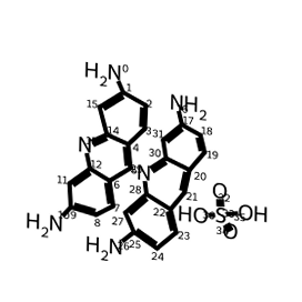 Nc1ccc2cc3ccc(N)cc3nc2c1.Nc1ccc2cc3ccc(N)cc3nc2c1.O=S(=O)(O)O